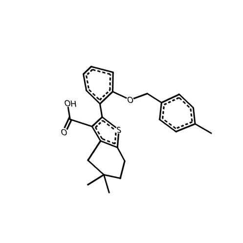 Cc1ccc(COc2ccccc2-c2sc3c(c2C(=O)O)CC(C)(C)CC3)cc1